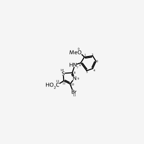 COc1ccccc1Nc1nc(Br)c(C(=O)O)s1